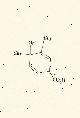 CC(C)(C)C1=CC(C(=O)O)C=CC1(O)C(C)(C)C